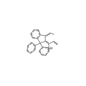 C=C/C(S)=C1\C(=C/C)c2ccccc2C1(c1ccccc1)c1ccccc1